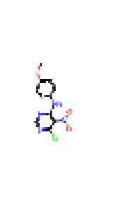 COc1ccc(Nc2ncnc(Cl)c2[N+](=O)[O-])cc1